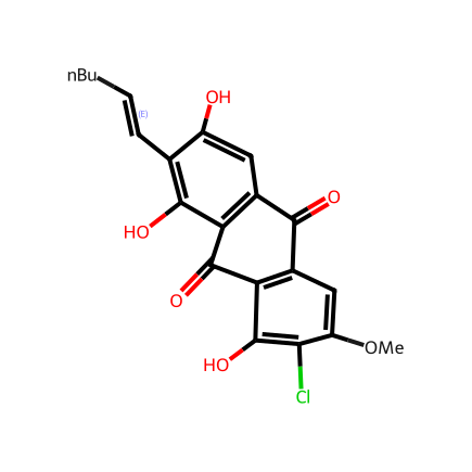 CCCC/C=C/c1c(O)cc2c(c1O)C(=O)c1c(cc(OC)c(Cl)c1O)C2=O